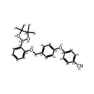 CC1(C)OB(c2ccccc2OCc2ccc(Oc3ccc(C#N)cc3)cc2)OC1(C)C